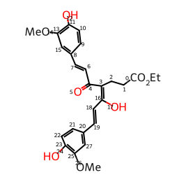 CCOC(=O)CC/C(C(=O)/C=C/c1ccc(O)c(OC)c1)=C(O)/C=C/c1ccc(O)c(OC)c1